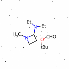 CC(C)(C)OC=O.CCN(CC)C1CCN1C